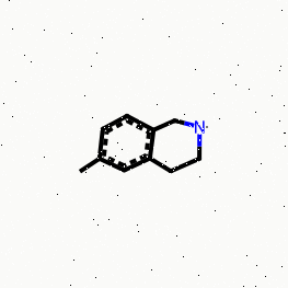 Cc1ccc2c(c1)CC[N]C2